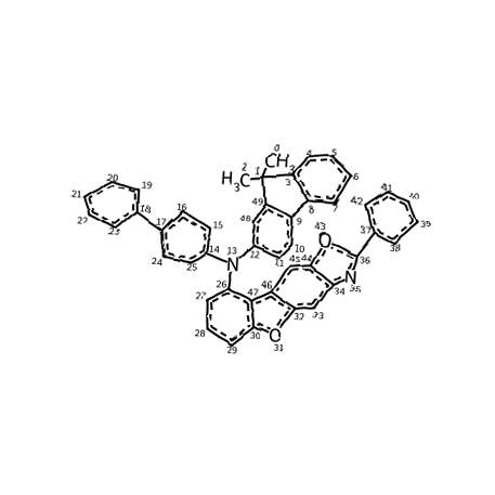 CC1(C)c2ccccc2-c2ccc(N(c3ccc(-c4ccccc4)cc3)c3cccc4oc5cc6nc(-c7ccccc7)oc6cc5c34)cc21